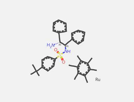 CC(C)(C)c1ccc(S(=O)(=O)N[C@H](c2ccccc2)[C@H](N)c2ccccc2)cc1.Cc1c(C)c(C)c(C)c(C)c1C.[Ru]